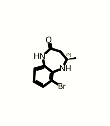 C[C@@H]1CC(=O)Nc2cccc(Br)c2N1